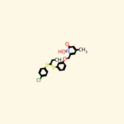 CCC(Sc1ccc(Cl)cc1)Sc1cccc(OCc2cc(C)cc(=O)n2O)c1